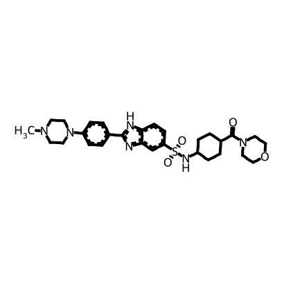 CN1CCN(c2ccc(-c3nc4cc(S(=O)(=O)NC5CCC(C(=O)N6CCOCC6)CC5)ccc4[nH]3)cc2)CC1